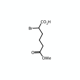 COC(=O)CCCC(Br)C(=O)O